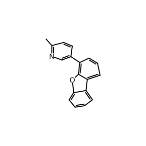 Cc1ccc(-c2cccc3c2oc2ccccc23)cn1